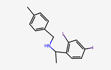 Cc1ccc(CNC(C)c2ccc(I)cc2I)cc1